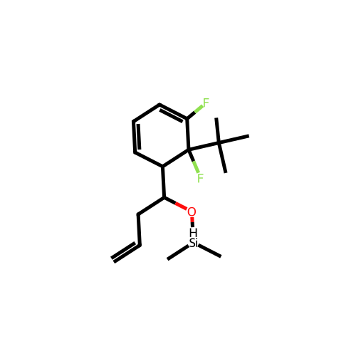 C=CCC(O[SiH](C)C)C1C=CC=C(F)C1(F)C(C)(C)C